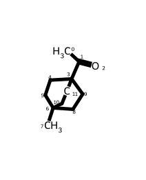 CC(=O)C12CCC(C)(CC1)CC2